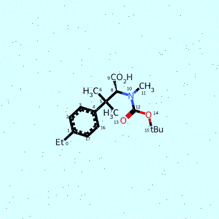 CCc1ccc(C(C)(C)[C@@H](C(=O)O)N(C)C(=O)OC(C)(C)C)cc1